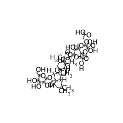 CC1(C)CC[C@]2(C(=O)O[C@@H]3O[C@H](CO)[C@@H](O)[C@H](O)[C@H]3O)CC[C@]3(C)C(=CC[C@@H]4[C@@]5(C)CC[C@H](O[C@@H]6O[C@H](C(=O)O)[C@H]7O[C@@](O)(C(=O)O)[C@@H](OCC(=O)O)O[C@@H]7[C@H]6O)[C@@](C)(C=O)[C@@H]5CC[C@]43C)[C@@H]2C1